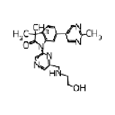 Cc1ncc(-c2ccc3c(c2)N(c2cncc(CNCCO)n2)C(=O)C3(C)C)cn1